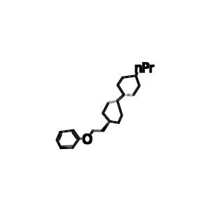 CCC[C@H]1CC[C@H]([C@H]2CC[C@H](CCOc3ccccc3)CC2)CC1